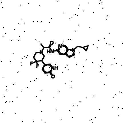 CC(C(=O)Nc1cc2ccn(CC3CC3)c2cn1)N1CCC(F)(F)C(c2ccc(=O)[nH]c2)C1